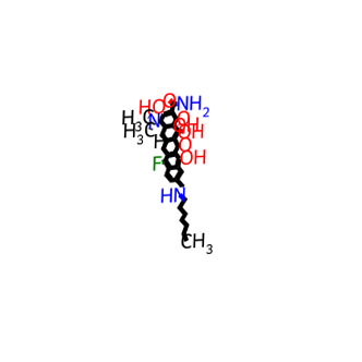 CCCCCCCNCc1ccc2c(F)c3c(c(O)c2c1)C(=O)C1=C(O)[C@]2(O)C(=O)C(C(N)=O)=C(O)[C@@H](N(C)C)C2C[C@@H]1C3